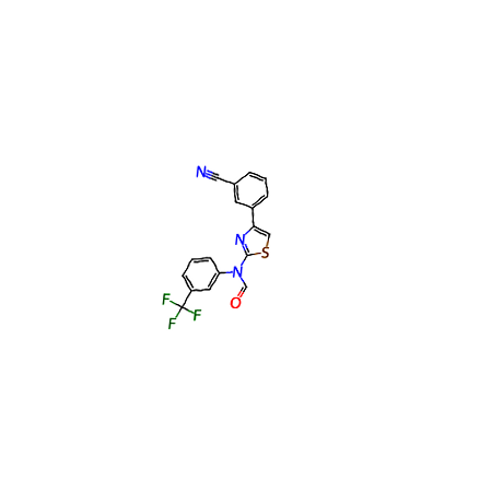 N#Cc1cccc(-c2csc(N(C=O)c3cccc(C(F)(F)F)c3)n2)c1